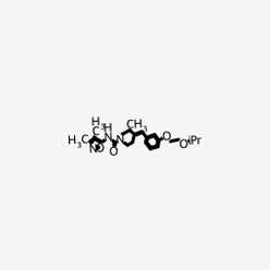 Cc1noc(NC(=O)N2CCC(=Cc3cccc(OCCOC(C)C)c3)C(C)C2)c1C